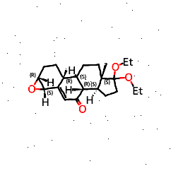 CCOC1(OCC)CC[C@H]2[C@@H]3C(=O)C=C4[C@@H]5O[C@@H]5CC[C@]4(C)[C@H]3CC[C@@]21C